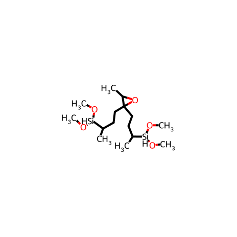 CO[SiH](OC)C(C)CCC1(CCC(C)[SiH](OC)OC)OC1C